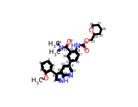 COc1ccccc1-c1c[nH]c2ncc(-c3ccc(NC(=O)OCC4CCCCO4)c(C(=O)N(C)C)c3)cc12